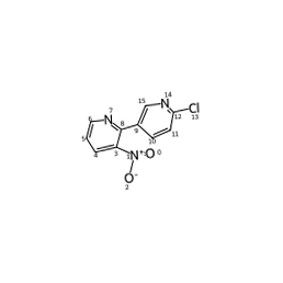 O=[N+]([O-])c1cccnc1-c1ccc(Cl)nc1